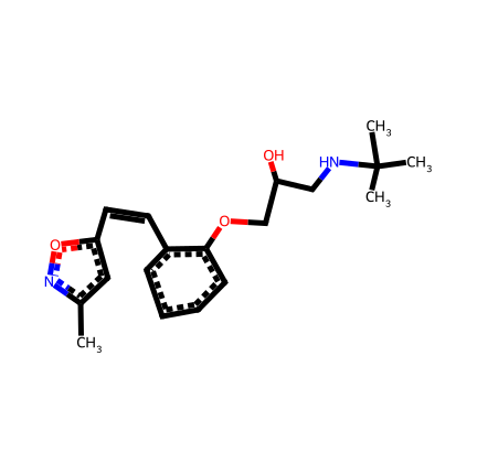 Cc1cc(/C=C\c2ccccc2OCC(O)CNC(C)(C)C)on1